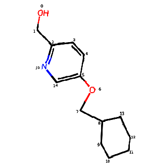 OCc1ccc(OCC2CCCCC2)cn1